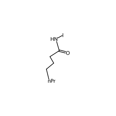 CCCCCCC(=O)NI